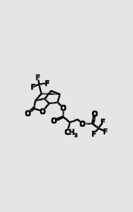 CC(COC(=O)C(F)(F)F)C(=O)OC1C2CC3C1OC(=O)C3C2C(F)(F)F